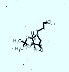 C=CCC[C@H]1CC(=O)[C@@H]2OC(C)(C)O[C@H]12